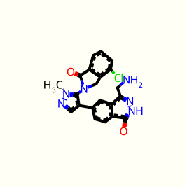 Cn1ncc(-c2ccc3c(=O)[nH]nc(CN)c3c2)c1N1Cc2c(Cl)cccc2C1=O